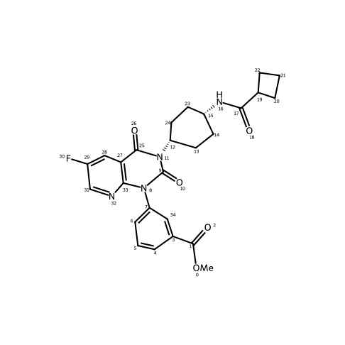 COC(=O)c1cccc(-n2c(=O)n([C@H]3CC[C@@H](NC(=O)C4CCC4)CC3)c(=O)c3cc(F)cnc32)c1